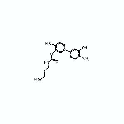 Cc1ccc(-c2ccc(C)c(OC(=O)NCCC[SiH3])c2)cc1O